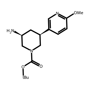 COc1ccc([C@@H]2C[C@H](N)CN(C(=O)OC(C)(C)C)C2)cn1